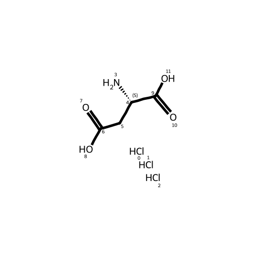 Cl.Cl.Cl.N[C@@H](CC(=O)O)C(=O)O